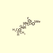 CSc1cccc(Oc2ncc(F)cc2C(=O)NC2CCC(NC(=O)c3cc(C)c(O)c(C)c3)CC2)c1